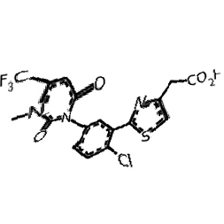 Cn1c(C(F)(F)F)cc(=O)n(-c2ccc(Cl)c(-c3nc(CC(=O)O)cs3)c2)c1=O